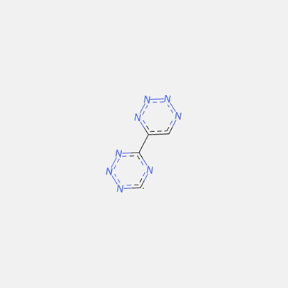 [c]1nnnc(-c2cnnnn2)n1